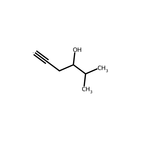 [C]#CCC(O)C(C)C